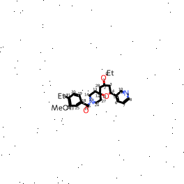 CCOC1CC(c2cccnc2)OC2(CCN(C(=O)c3ccc(CC)c(OC)c3)CC2)C1